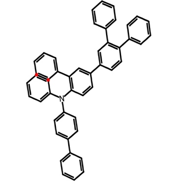 c1ccc(-c2ccc(N(c3ccccc3)c3ccc(-c4ccc(-c5ccccc5)c(-c5ccccc5)c4)cc3-c3ccccc3)cc2)cc1